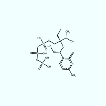 C[C@H](O)[C@@](CF)(COP(=O)(O)OP(=O)(O)OP(=O)(O)O)O[C@H](CO)n1ccc(N)nc1=O